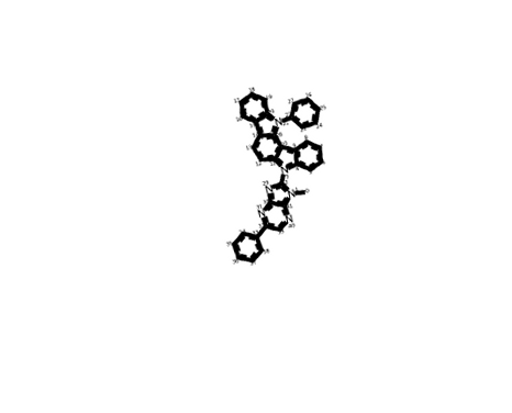 Cn1c(-n2c3ccccc3c3c2ccc2c4ccccc4n(-c4ccccc4)c23)nc2nc(-c3ccccc3)cnc21